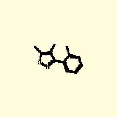 [CH2]c1ccccc1-c1noc(C)c1C